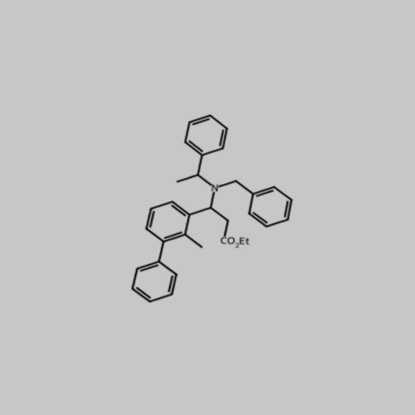 CCOC(=O)CC(c1cccc(-c2ccccc2)c1C)N(Cc1ccccc1)C(C)c1ccccc1